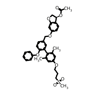 CC(=O)O[C@@H]1COc2cc(OCc3ccc(Oc4ccccc4)c(-c4c(C)cc(OCCCS(C)(=O)=O)cc4C)c3)ccc21